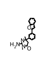 CN1C(=O)CC(C)(c2cccc(-c3cc4ccccc4o3)c2)N=C1N